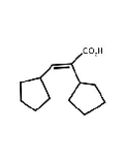 O=C(O)C(=CC1CCCC1)C1CCCC1